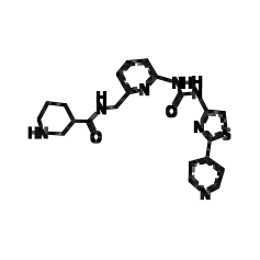 O=C(Nc1cccc(CNC(=O)C2CCCNC2)n1)Nc1csc(-c2ccncc2)n1